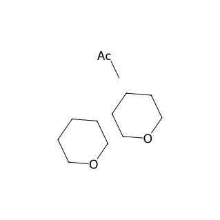 C1CCOCC1.C1CCOCC1.CC(C)=O